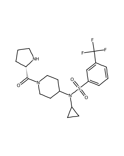 O=C([C@@H]1CCCN1)N1CCC(N(C2CC2)S(=O)(=O)c2cccc(C(F)(F)F)c2)CC1